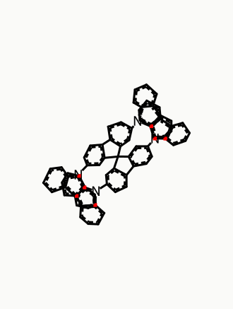 c1ccc2c(c1)c1ccccc1n2-c1ccc2c(c1)C1(c3cc(-n4c5ccccc5c5ccccc54)ccc3-2)c2cc(-n3c4ccccc4c4ccccc43)ccc2-c2ccc(-n3c4ccccc4c4ccccc43)cc21